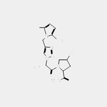 CNC(=O)C1CC(O)CN1C(=O)[C@@H](n1cc(Cn2c(C)ccc2C)nn1)C(C)(C)C